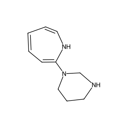 C1=CC=C(N2CCCNC2)NC=C1